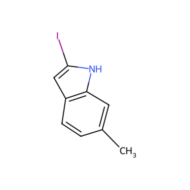 Cc1ccc2cc(I)[nH]c2c1